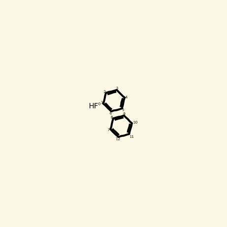 F.c1ccccc1.c1ccccc1